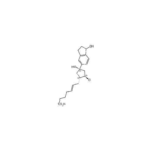 O=C(O)CCCC=CC[C@@H]1C[C@](O)(c2ccc3c(c2)CCC3O)C[C@H]1Cl